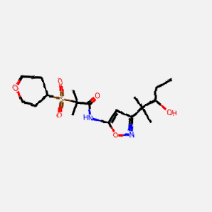 CCC(O)C(C)(C)c1cc(NC(=O)C(C)(C)S(=O)(=O)C2CCOCC2)on1